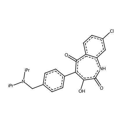 CC(C)N(Cc1ccc(-c2c(O)c(=O)[nH]c3cc(Cl)ccc3c2=O)cc1)C(C)C